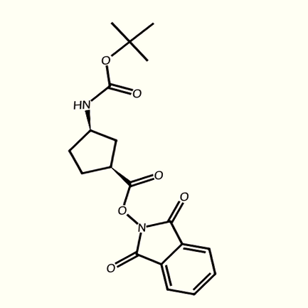 CC(C)(C)OC(=O)N[C@@H]1CC[C@H](C(=O)ON2C(=O)c3ccccc3C2=O)C1